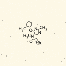 Cc1ncc(N(C)C(=O)OC(C)(C)C)c(Oc2ccccc2C)n1